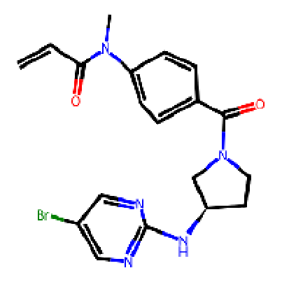 C=CC(=O)N(C)c1ccc(C(=O)N2CC[C@@H](Nc3ncc(Br)cn3)C2)cc1